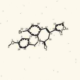 COc1ccc(CN2C(=O)CC(c3ccon3)=Cc3ccc(Br)cc32)cc1